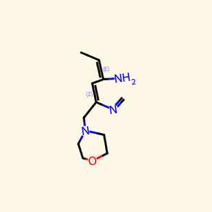 C=N/C(=C\C(N)=C/C)CN1CCOCC1